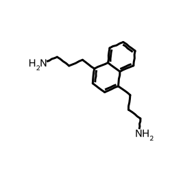 NCCCc1ccc(CCCN)c2ccccc12